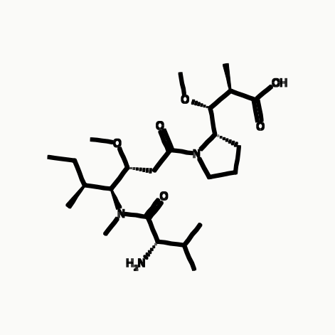 CC[C@H](C)[C@@H]([C@@H](CC(=O)N1CCC[C@H]1[C@H](OC)[C@@H](C)C(=O)O)OC)N(C)C(=O)[C@@H](N)C(C)C